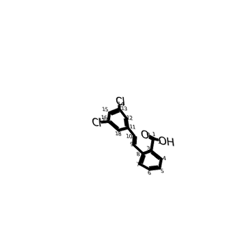 O=C(O)c1ccccc1/C=C/c1cc(Cl)cc(Cl)c1